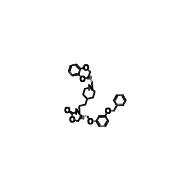 O=C1OC[C@@H](COc2cccc(OCc3ccccc3)c2)N1CCC1CCN(C[C@H]2COc3ccccc3O2)CC1